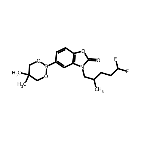 CC(CCC(F)F)Cn1c(=O)oc2ccc(B3OCC(C)(C)CO3)cc21